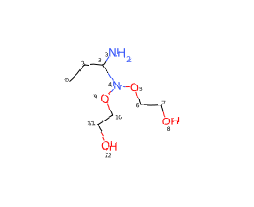 CCC(N)N(OCCO)OCCO